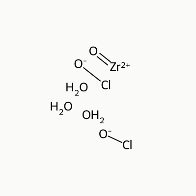 O.O.O.[O-]Cl.[O-]Cl.[O]=[Zr+2]